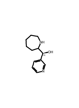 O[C@@H](c1cccnc1)C1CCCCCN1